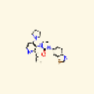 Cc1nccc(N2CCCC2)c1N1CCN(c2ccc3ncsc3c2)C1=O